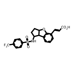 O=C(O)/C=C/c1cccc2c1OC1CCC(NS(=O)(=O)c3ccc(C(F)(F)F)cc3)C21